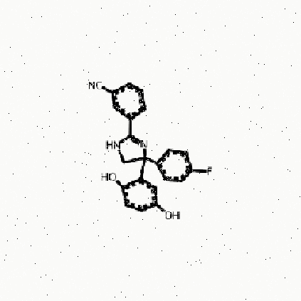 N#Cc1cccc(C2=NC(c3ccc(F)cc3)(c3cc(O)ccc3O)CN2)c1